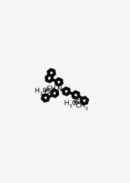 C[Si]1(C)c2ccccc2-c2ccc(-c3ccc(N(c4cccc(-c5cccc6ccccc56)c4)c4ccc5c(c4)[Si](C)(C)c4ccccc4-5)cc3)cc21